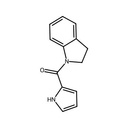 O=C(c1ccc[nH]1)N1CCc2ccccc21